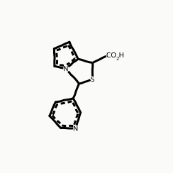 O=C(O)C1SC(c2cccnc2)n2cccc21